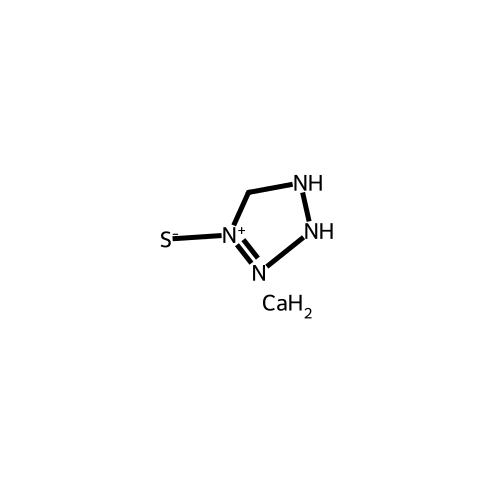 [CaH2].[S-][N+]1=NNNC1